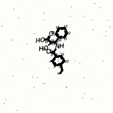 CCc1ccc(C(=O)N[C@@H](c2ccccc2)[C@@H](O)C(=O)O)cc1